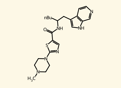 CCCCC(Cc1c[nH]c2cnccc12)NC(=O)c1cnc(N2CCN(C)CC2)s1